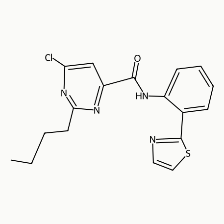 CCCCc1nc(Cl)cc(C(=O)Nc2ccccc2-c2nccs2)n1